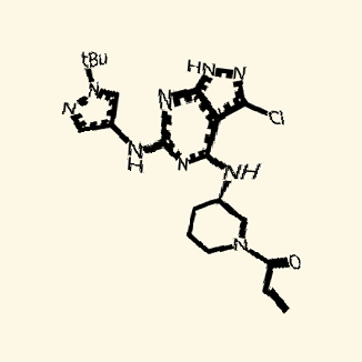 C=CC(=O)N1CCC[C@@H](Nc2nc(Nc3cnn(C(C)(C)C)c3)nc3[nH]nc(Cl)c23)C1